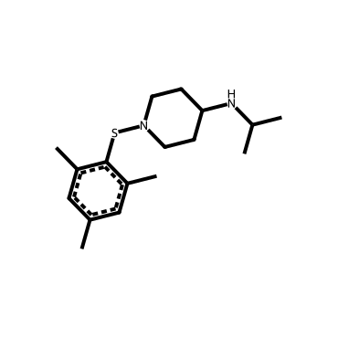 Cc1cc(C)c(SN2CCC(NC(C)C)CC2)c(C)c1